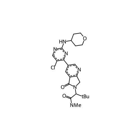 CNC(=O)C(N1Cc2ncc(-c3nc(NC4CCOCC4)ncc3Cl)cc2C1=O)C(C)(C)C